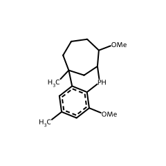 COc1cc(C)cc2c1PC1CC2(C)CCCC1OC